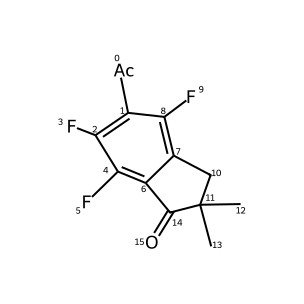 CC(=O)c1c(F)c(F)c2c(c1F)CC(C)(C)C2=O